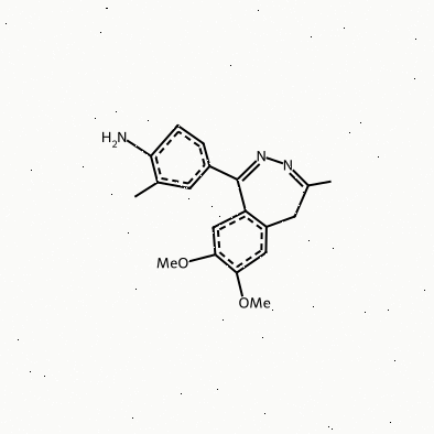 COc1cc2c(cc1OC)C(c1ccc(N)c(C)c1)=NN=C(C)C2